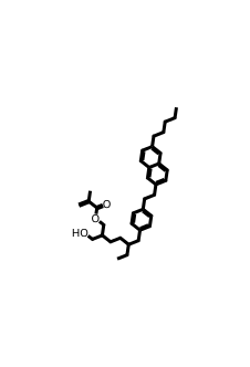 C=C(C)C(=O)OCC(CO)CCC(CC)Cc1ccc(CCc2ccc3cc(CCCCC)ccc3c2)cc1